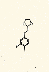 Fc1cc(CCC2OCCO2)ccc1I